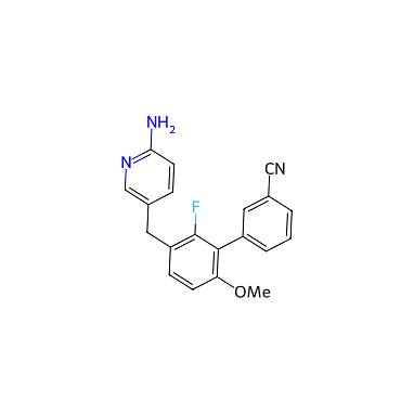 COc1ccc(Cc2ccc(N)nc2)c(F)c1-c1cccc(C#N)c1